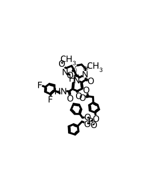 COC1=NO[C@@]2(CC[C@H](C)N3C[C@H]2n2cc(C(=O)NCc4ccc(F)cc4F)c(=O)c(OC(=O)Cc4ccc(OP(=O)(OCc5ccccc5)OCc5ccccc5)cc4)c2C3=O)C1